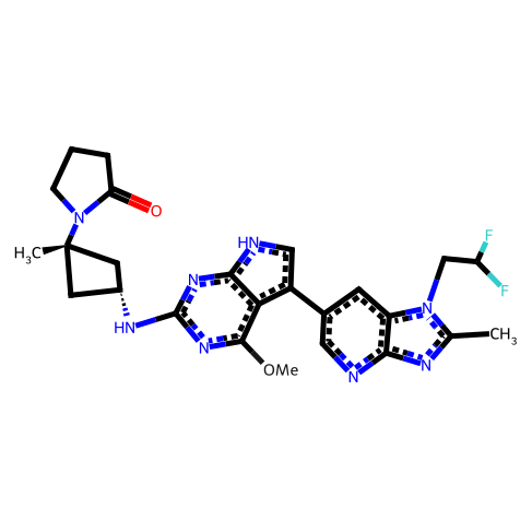 COc1nc(N[C@H]2C[C@@](C)(N3CCCC3=O)C2)nc2[nH]cc(-c3cnc4nc(C)n(CC(F)F)c4c3)c12